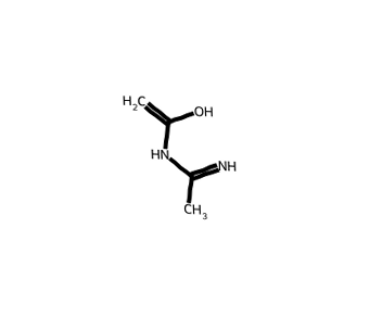 C=C(O)NC(C)=N